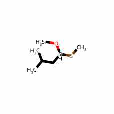 CS[SiH](CC(C)C)O[SiH3]